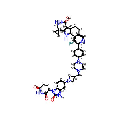 Cn1c(=O)n(C2CCC(=O)NC2=O)c2ccc(N3CC(CN4CCN(c5ccc(-c6ncc7c(c6F)-c6[nH]c8c(c6CC7)C(=O)NCC86CC6)cc5)CC4)C3)cc21